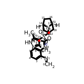 C=Nc1ccccc1/N=C(\C)O[C@@H]1C[C@H]2CC[C@@H](C1)N2CS(=O)(=O)c1c(C)n[nH]c1C